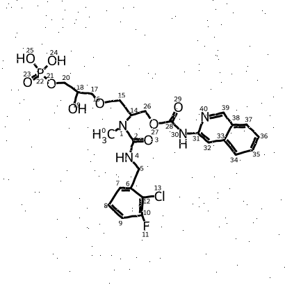 CN(C(=O)NCc1cccc(F)c1Cl)C(COCC(O)COP(=O)(O)O)COC(=O)Nc1cc2ccccc2cn1